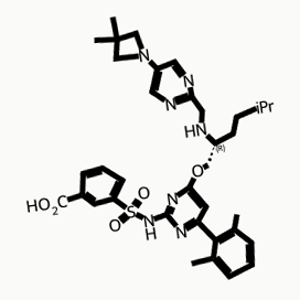 Cc1cccc(C)c1-c1cc(OC[C@@H](CCC(C)C)NCc2ncc(N3CC(C)(C)C3)cn2)nc(NS(=O)(=O)c2cccc(C(=O)O)c2)n1